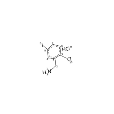 Cl.NCc1cc(I)ccc1Cl